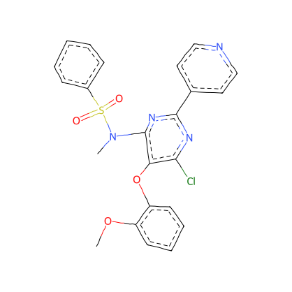 COc1ccccc1Oc1c(Cl)nc(-c2ccncc2)nc1N(C)S(=O)(=O)c1ccccc1